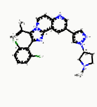 C=C(C)c1c(-c2c(Cl)cccc2Cl)nc2c3cc(-c4cnn([C@H]5CCN(C(=O)O)C5)c4)cnc3ccn12